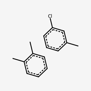 Cc1cccc(Cl)c1.Cc1ccccc1C